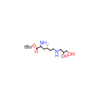 CC(C)(C)OC(=O)C(N)CCCCNCC(O)CO